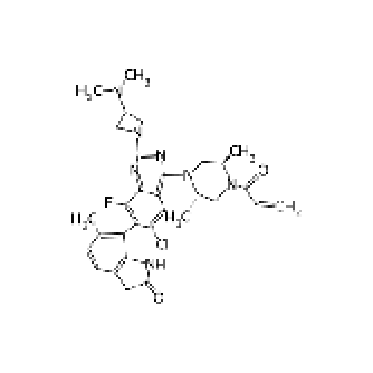 C=CC(=O)N1C[C@H](C)N(c2nc(N3CC(N(C)C)C3)nc3c(F)c(-c4c(C)ccc5c4NC(=O)C5)c(Cl)cc23)C[C@H]1C